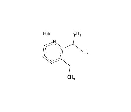 Br.CCc1cccnc1C(C)N